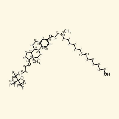 CN(CCCCCCSSCCCCCCO)CCOc1ccc2c(c1)CCC1C2CCC2(C)C(OCCCOC(C(F)(F)F)(C(F)(F)F)C(F)(F)F)CCC12